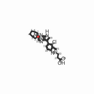 NC1CC2CCC(C1)N2c1cnc2c(-c3ccc4nn(CCC(=O)O)cc4c3Cl)c[nH]c2n1